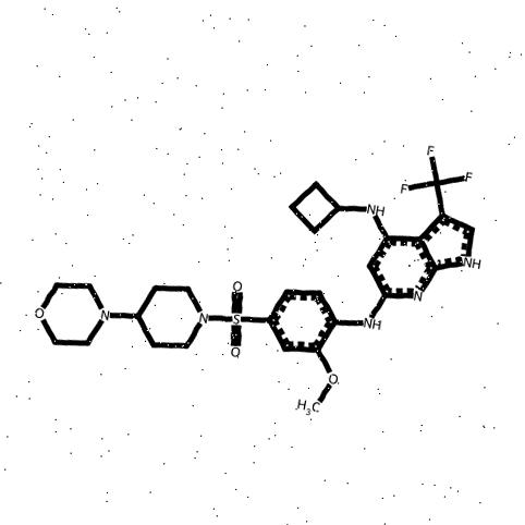 COc1cc(S(=O)(=O)N2CCC(N3CCOCC3)CC2)ccc1Nc1cc(NC2CCC2)c2c(C(F)(F)F)c[nH]c2n1